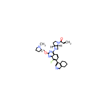 C=CC(=O)N1CC[C@@H]2[C@H]1CN2c1nc(OC[C@@H]2CCCN2C)nc2c(F)c(-c3cncc4c3CCCC4)ccc12